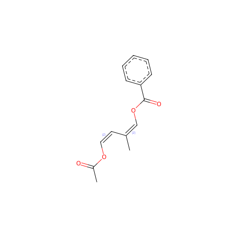 CC(=O)O/C=C\C(C)=C/OC(=O)c1ccccc1